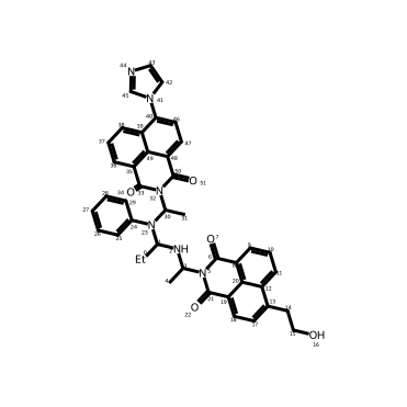 CCC(NC(C)N1C(=O)c2cccc3c(CCO)ccc(c23)C1=O)N(c1ccccc1)C(C)N1C(=O)c2cccc3c(-n4ccnc4)ccc(c23)C1=O